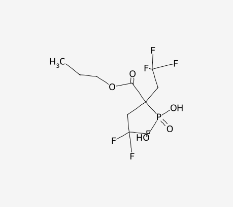 CCCOC(=O)C(CC(F)(F)F)(CC(F)(F)F)P(=O)(O)O